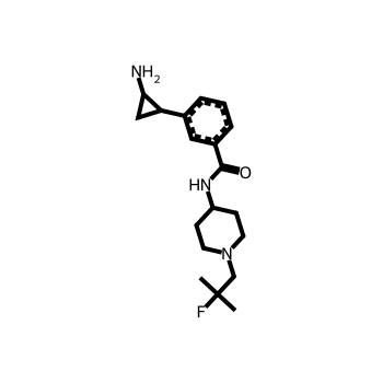 CC(C)(F)CN1CCC(NC(=O)c2cccc(C3CC3N)c2)CC1